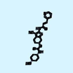 N#Cc1c(NC(=O)/C=C/c2cccnc2)sc2c1CCC(OC(=O)N[C@H]1CC[C@@H](O)CC1)C2